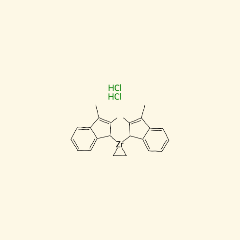 CC1=C(C)[CH]([Zr]2([CH]3C(C)=C(C)c4ccccc43)[CH2][CH2]2)c2ccccc21.Cl.Cl